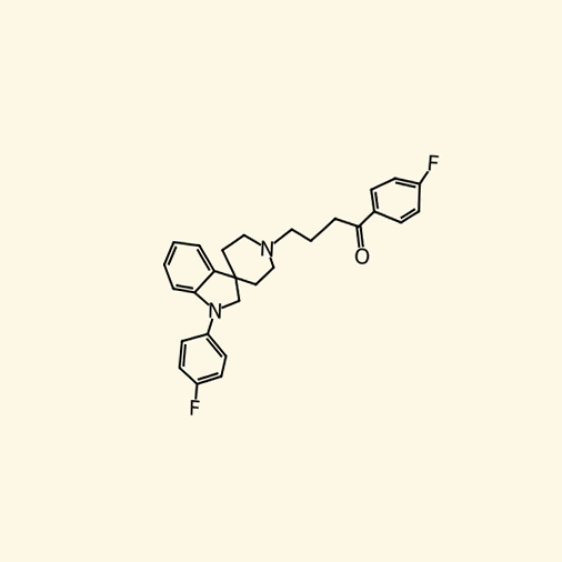 O=C(CCCN1CCC2(CC1)CN(c1ccc(F)cc1)c1ccccc12)c1ccc(F)cc1